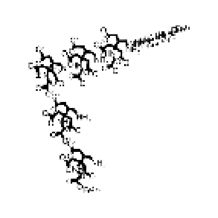 NCC(CC(=O)[O-])C(CC(=O)[O-])(CC(=O)[O-])NCC(=O)[O-].NCC(CC(=O)[O-])C(CC(=O)[O-])(CC(=O)[O-])NCC(=O)[O-].NCC(CC(=O)[O-])C(CC(=O)[O-])(CC(=O)[O-])NCC(=O)[O-].NCC(CC(=O)[O-])C(CC(=O)[O-])(CC(=O)[O-])NCC(=O)[O-].NCC(CC(=O)[O-])C(CC(=O)[O-])(CC(=O)[O-])NCC(=O)[O-].[Fe+3].[Fe+3].[Fe+3].[Fe+3].[NH4+].[NH4+].[NH4+].[NH4+].[NH4+].[NH4+].[NH4+].[NH4+]